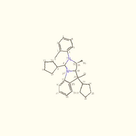 Cc1ccccc1N1C(C2CCCC2)N2c3ccccc3C(C)(C3CCCC3)C2[C@@H]1C